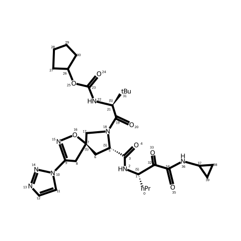 CCC[C@H](NC(=O)[C@@H]1C[C@]2(CC(n3ccnn3)=NO2)CN1C(=O)[C@@H](NC(=O)OC1CCCC1)C(C)(C)C)C(=O)C(=O)NC1CC1